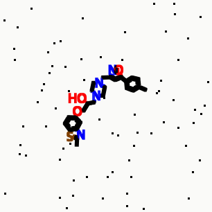 Cc1ccc(-c2cc(CN3CCN(C[C@@H](O)COc4ccc5sc(C)nc5c4)CC3)no2)cc1